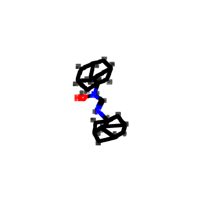 ON(C=NC12CC3CC(CC(C3)C1)C2)C12CC3CC(CC(C3)C1)C2